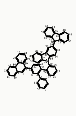 c1ccc(-c2cc(-c3cc4ccccc4c4ccccc34)ccc2-c2ccccc2-n2c3ccccc3c3cc(C4c5ccccc5-c5ccccc54)ccc32)cc1